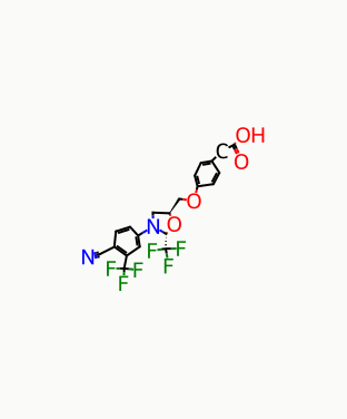 N#Cc1ccc(N2C[C@@H](COc3ccc(CC(=O)O)cc3)O[C@@H]2C(F)(F)F)cc1C(F)(F)F